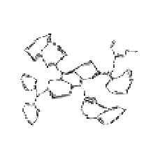 C=C/C=C(\C=C)N(c1ccccc1)c1ccc2c(-c3ccc4ccccc4c3)c3cc(N(c4ccccc4)c4ccccc4)ccc3c(-c3ccc4ccccc4c3)c2c1